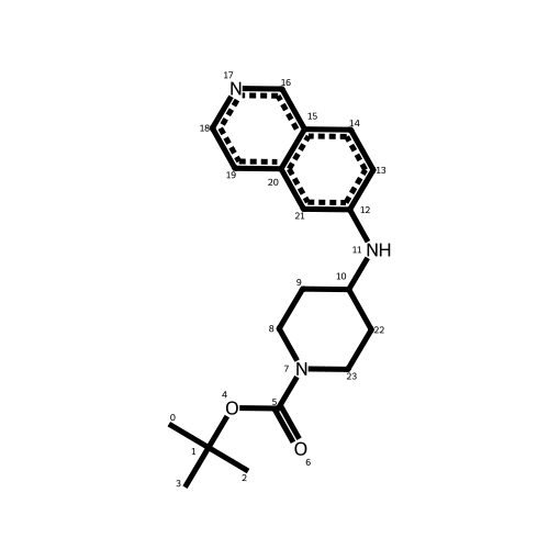 CC(C)(C)OC(=O)N1CCC(Nc2ccc3cnccc3c2)CC1